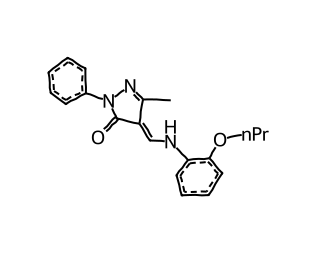 CCCOc1ccccc1NC=C1C(=O)N(c2ccccc2)N=C1C